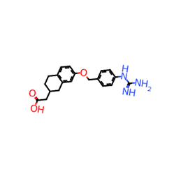 N=C(N)Nc1ccc(COc2ccc3c(c2)CC(CC(=O)O)CC3)cc1